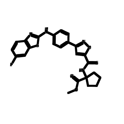 COC(=O)C1(NC(=S)c2cc(-c3ccc(Nc4nc5ccc(F)cc5s4)cc3)no2)CCCC1